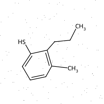 CCCc1c(C)cccc1S